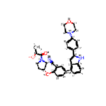 CC(O)C(=O)N1CC[C@@H](Oc2ccc(-c3cccc4[nH]c(-c5ccc(N6CCOCC6)cc5)cc34)cc2C#N)C1